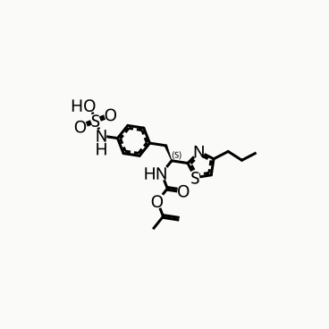 C=C(C)OC(=O)N[C@@H](Cc1ccc(NS(=O)(=O)O)cc1)c1nc(CCC)cs1